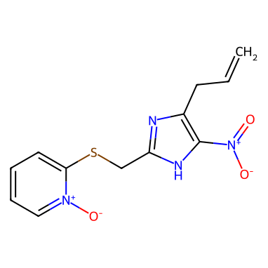 C=CCc1nc(CSc2cccc[n+]2[O-])[nH]c1[N+](=O)[O-]